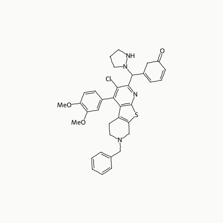 COc1ccc(-c2c(Cl)c(C(C3=CC=CC(=O)C3)N3CCCN3)nc3sc4c(c23)CCN(Cc2ccccc2)C4)cc1OC